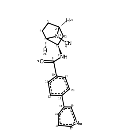 N#CN1[C@H]2CC[C@@H]1[C@H](NC(=O)c1ccc(-c3cccnc3)cc1)C2